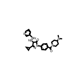 CN(C)C1CCN(C(=O)c2ccc(N3N=C(C4CC4)C(NNc4cccnc4)C3=O)cc2)CC1